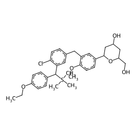 CCOc1ccc(C(c2cc(Cc3cc(C4CC(O)CC(CO)O4)ccc3OC)ccc2Cl)S(C)(C)C)cc1